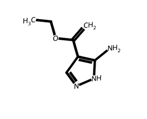 C=C(OCC)c1cn[nH]c1N